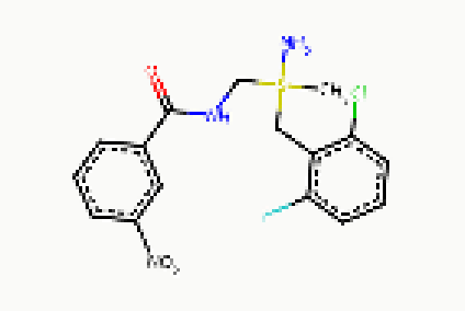 CS(N)(CNC(=O)c1cccc([N+](=O)[O-])c1)Cc1c(F)cccc1Cl